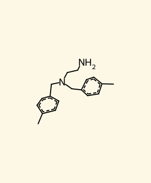 Cc1ccc(CN(CCN)Cc2ccc(C)cc2)cc1